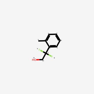 Cc1ccccc1C(F)(F)CO